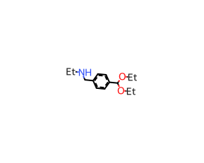 CCNCc1ccc(C(OCC)OCC)cc1